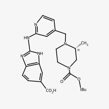 C[C@@H]1CN(C(=O)OC(C)(C)C)CCN1Cc1ccnc(Nc2nc3ccc(C(=O)O)cc3[nH]2)c1